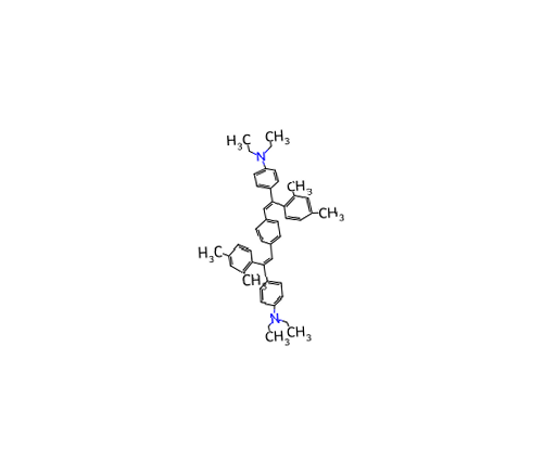 CCN(CC)c1ccc(C(=Cc2ccc(C=C(c3ccc(N(CC)CC)cc3)c3ccc(C)cc3C)cc2)c2ccc(C)cc2C)cc1